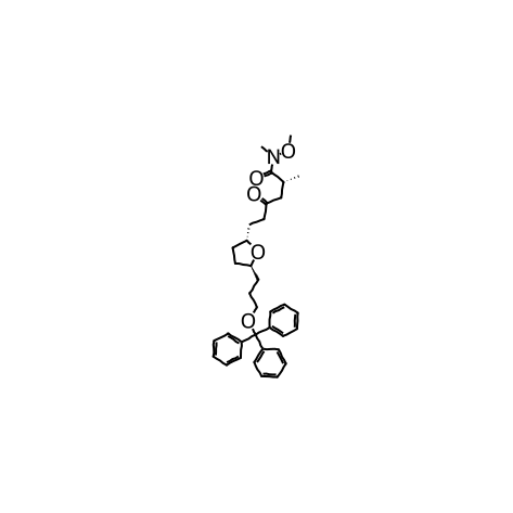 CON(C)C(=O)[C@H](C)CC(=O)CC[C@H]1CC[C@H](CCCOC(c2ccccc2)(c2ccccc2)c2ccccc2)O1